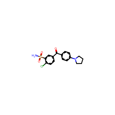 NS(=O)(=O)c1cc(C(=O)c2ccc(N3CCCC3)cc2)ccc1Cl